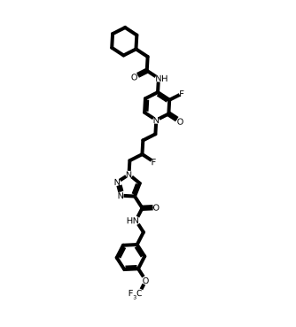 O=C(CC1CCCCC1)Nc1ccn(CCC(F)Cn2cc(C(=O)NCc3cccc(OC(F)(F)F)c3)nn2)c(=O)c1F